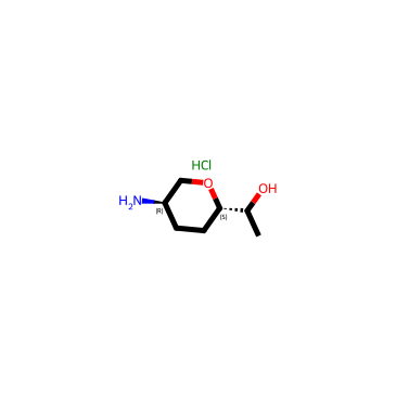 CC(O)[C@@H]1CC[C@@H](N)CO1.Cl